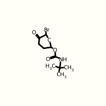 CC(C)(C)NC(=O)OC1CCC(=O)C(Br)C1